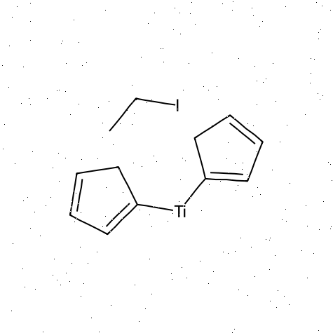 C1=CC[C]([Ti][C]2=CC=CC2)=C1.CCI